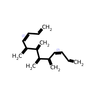 C=C/C=C\C(=C)C(=C)C(=C)C(=C)/C=C\C=C